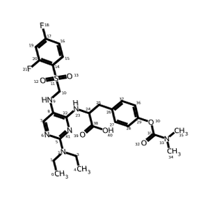 CCN(CC)c1ncc(NCS(=O)(=O)c2ccc(F)cc2F)c(NC(Cc2ccc(OC(=O)N(C)C)cc2)C(=O)O)n1